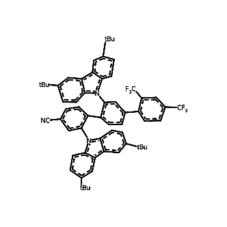 CC(C)(C)c1ccc2c(c1)c1cc(C(C)(C)C)ccc1n2-c1cc(C#N)ccc1-c1ccc(-c2ccc(C(F)(F)F)cc2C(F)(F)F)cc1-n1c2ccc(C(C)(C)C)cc2c2cc(C(C)(C)C)ccc21